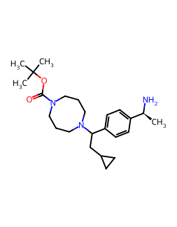 C[C@H](N)c1ccc(C(CC2CC2)N2CCCN(C(=O)OC(C)(C)C)CCC2)cc1